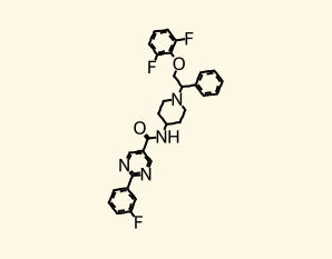 O=C(NC1CCN(C(COc2c(F)cccc2F)c2ccccc2)CC1)c1cnc(-c2cccc(F)c2)nc1